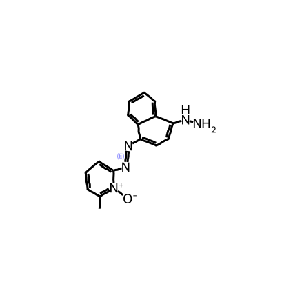 Cc1cccc(/N=N/c2ccc(NN)c3ccccc23)[n+]1[O-]